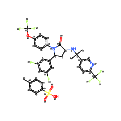 CC(C)(N[C@@H]1CC(c2cc(F)cc(F)c2)N(c2ccc(OC(F)(F)F)cc2)C1=O)c1ccc(C(F)(F)F)nc1.Cc1ccc(S(=O)(=O)O)cc1